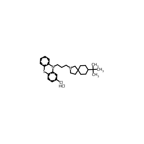 CC(C)(C)C1CCC2(CC1)CCN(CCCN1c3ccccc3Sc3ccc(Cl)cc31)C2.Cl